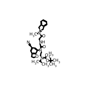 CC(C)N(CCN(C(=O)CNCC(=O)N(C)N1Cc2ccccc2C1)c1cc(C#N)cc2c1OCC2)C(=O)OC(C)(C)C